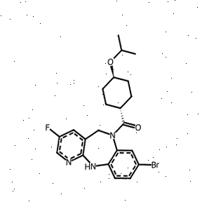 CC(C)O[C@H]1CC[C@H](C(=O)N2Cc3cc(F)cnc3Nc3ccc(Br)cc32)CC1